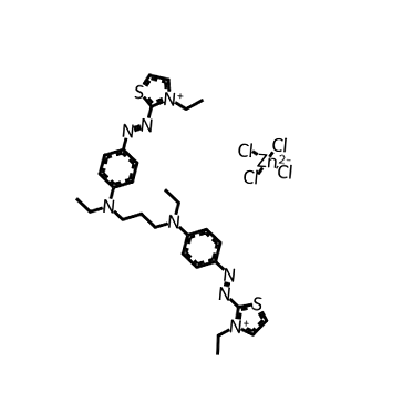 CCN(CCCN(CC)c1ccc(N=Nc2scc[n+]2CC)cc1)c1ccc(N=Nc2scc[n+]2CC)cc1.[Cl][Zn-2]([Cl])([Cl])[Cl]